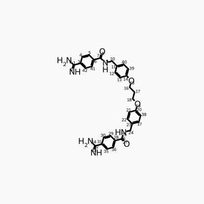 N=C(N)c1ccc(C(=O)NCc2ccc(OCCCOc3ccc(CNC(=O)c4ccc(C(=N)N)cc4)cc3)cc2)cc1